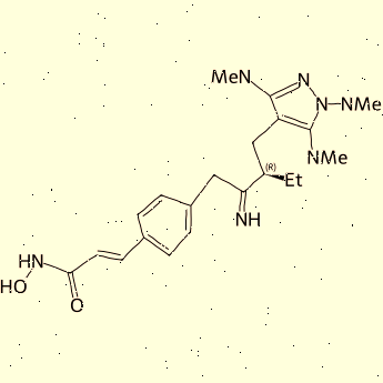 CC[C@H](Cc1c(NC)nn(NC)c1NC)C(=N)Cc1ccc(C=CC(=O)NO)cc1